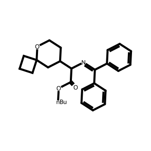 CCCCOC(=O)C(N=C(c1ccccc1)c1ccccc1)C1CCOC2(CCC2)C1